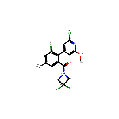 CC(C)Oc1cc(-c2c(F)cc(C#N)cc2C(=O)N2CC(F)(F)C2)cc(Cl)n1